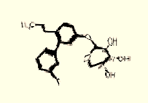 CCCc1ccc(OC2OC[C@@H](O)[C@@H](O)[C@@H]2O)cc1-c1cccc(F)c1